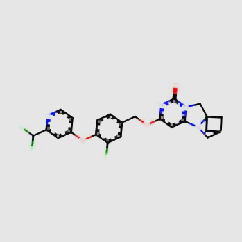 O=c1nc(OCc2ccc(Oc3ccnc(C(F)F)c3)c(F)c2)cc2n1CC13CC(CN21)C3